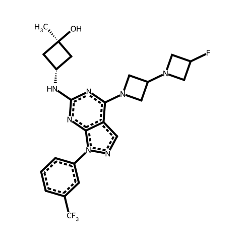 C[C@]1(O)C[C@H](Nc2nc(N3CC(N4CC(F)C4)C3)c3cnn(-c4cccc(C(F)(F)F)c4)c3n2)C1